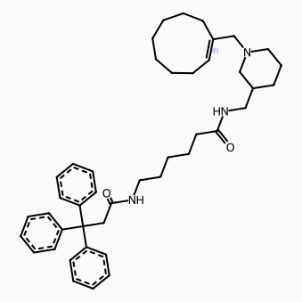 O=C(CCCCCNC(=O)CC(c1ccccc1)(c1ccccc1)c1ccccc1)NCC1CCCN(C/C2=C/CCCCCCC2)C1